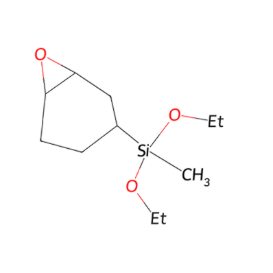 CCO[Si](C)(OCC)C1CCC2OC2C1